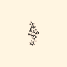 CC(=O)N1C[C@H](Cc2ccsc2)C[C@H]1C(=O)N1CCCN(C2CCC2)CC1